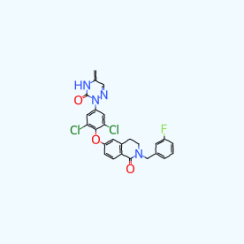 C=C1C=NN(c2cc(Cl)c(Oc3ccc4c(c3)CCN(Cc3cccc(F)c3)C4=O)c(Cl)c2)C(=O)N1